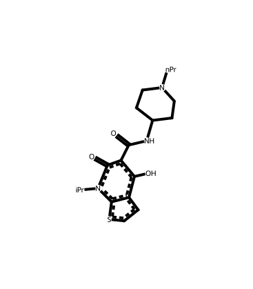 CCCN1CCC(NC(=O)c2c(O)c3ccsc3n(C(C)C)c2=O)CC1